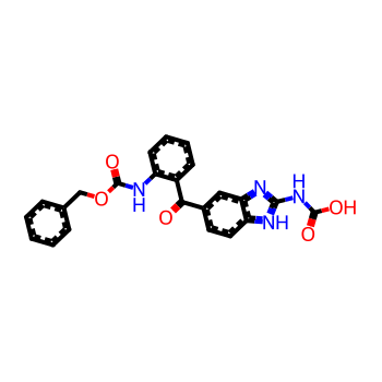 O=C(O)Nc1nc2cc(C(=O)c3ccccc3NC(=O)OCc3ccccc3)ccc2[nH]1